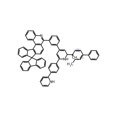 C=C(/C=C\C(=C/CC)c1ccccc1)C1C=C(c2cccc(-c3nc4ccccc4c4c5c(ccc34)C3(c4ccccc4-c4ccccc43)c3ccccc3-5)c2)C=C(c2ccc(C3=C=CC=CN3)cc2)N1